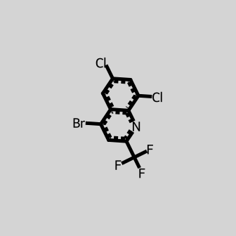 FC(F)(F)c1cc(Br)c2cc(Cl)cc(Cl)c2n1